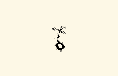 CP(=O)(O)OCOc1ccccc1